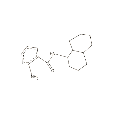 Nc1ccccc1C(=O)NC1CCCC2CCCCC21